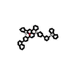 c1cc(-c2ccc(N(c3ccc(-c4ccc(-c5cccc6ccccc56)cc4)cc3)c3ccccc3-c3ccc4sc5ccccc5c4c3)cc2)cc(-n2c3ccccc3c3ccccc32)c1